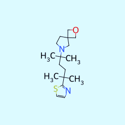 CC(C)(CCC(C)(C)N1CCC2(COC2)C1)c1nccs1